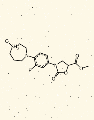 COC(=O)C1CN(c2ccc(N3CCC[SH2+]([O-])CC3)c(F)c2)C(=O)O1